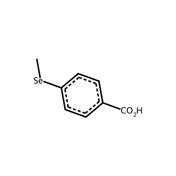 C[Se]c1ccc(C(=O)O)cc1